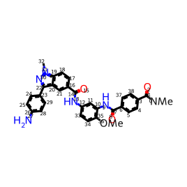 CNC(=O)c1ccc(C(=O)Nc2cc(NC(=O)c3ccc4c(c3)c(-c3ccc(N)cc3)nn4C)ccc2OC)cc1